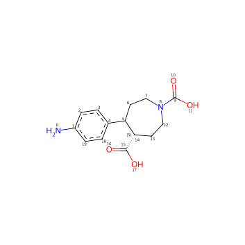 Nc1ccc(C2CCN(C(=O)O)CC[C@@H]2C(=O)O)cc1